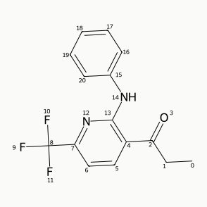 CCC(=O)c1ccc(C(F)(F)F)nc1Nc1ccccc1